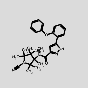 CN(C(=O)c1cc(-c2ccccc2Oc2ccccc2)[nH]n1)C1(C)C(C)(C)N(C#N)C(C)(C)C1(C)C